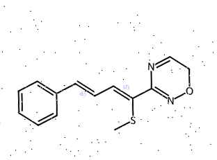 CS/C(=C\C=C\c1ccccc1)C1=NOCC=N1